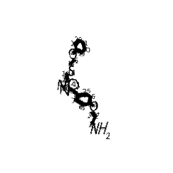 NCCCOc1ccc(-c2nnc(CSCCOc3ccccc3)o2)cc1